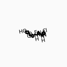 O=C(Oc1ccc(O)cc1)N1CCCC(CNc2nc(-c3c[nH]c4ncc(Cl)cc34)ncc2F)C1